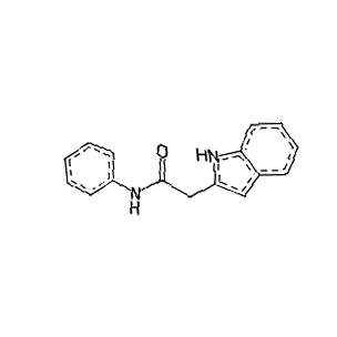 O=C(Cc1cc2ccccc2[nH]1)Nc1ccccc1